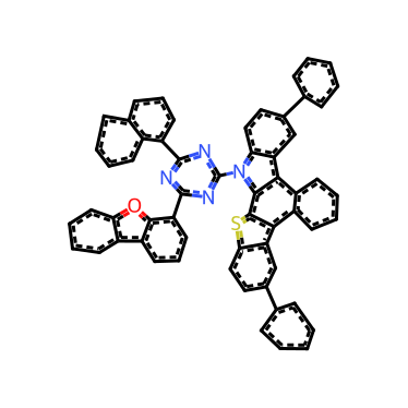 c1ccc(-c2ccc3sc4c(c3c2)c2ccccc2c2c3cc(-c5ccccc5)ccc3n(-c3nc(-c5cccc6ccccc56)nc(-c5cccc6c5oc5ccccc56)n3)c42)cc1